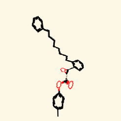 Cc1ccc(OC(=O)[C@@H]2O[C@H]2c2ccccc2CCCCCCCCc2ccccc2)cc1